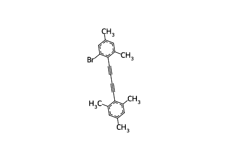 Cc1cc(C)c(C#CC#Cc2c(C)cc(C)cc2Br)c(C)c1